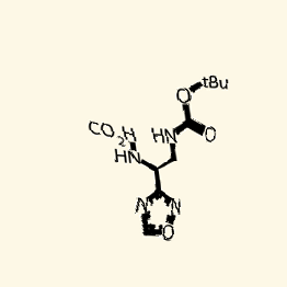 CC(C)(C)OC(=O)NC[C@H](NC(=O)O)c1ncon1